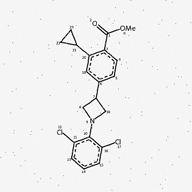 COC(=O)c1ccc(C2CN(c3c(Cl)cccc3Cl)C2)cc1C1CC1